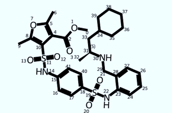 COC(=O)c1c(C)oc(C)c1S(=O)(=O)Nc1ccc(S(=O)(=O)Nc2ccccc2CN[C@@H](C)CC2CCCCC2)cc1